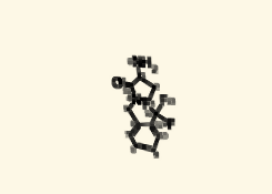 NC1CCN(Cc2ccccc2C(F)(F)F)C1=O